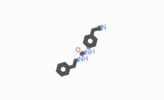 N#CCc1ccc(NC(=O)NCCc2ccccc2)cc1